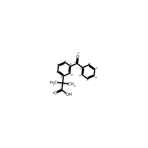 CC(C)(C(=O)O)c1cccc(C(=O)c2ccccc2)c1